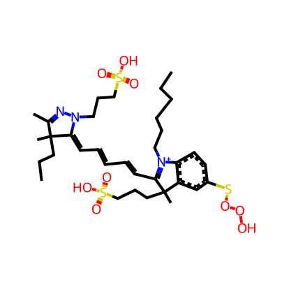 CCCCCC[N+]1=C(/C=C/C=C/C=C2\N(CCCS(=O)(=O)O)N=C(C)C2(C)CCC)C(C)(CCCS(=O)(=O)O)c2cc(SOOO)ccc21